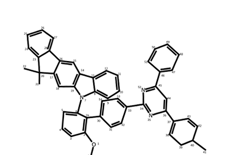 COc1cccc(-n2c3ccccc3c3cc4c(cc32)C(C)(C)c2ccccc2-4)c1-c1ccc(-c2nc(C3=CCC(C)C=C3)cc(-c3ccccc3)n2)cc1